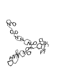 Nc1c(Cl)cc(C[C@@H](OC(=O)N2CCC(N3CCc4ccccc4NC3=O)CC2)C(=O)N2CCC(N3CCN(CC(=O)OCCN4CCCC4=O)CC3)CC2)cc1C(F)(F)F